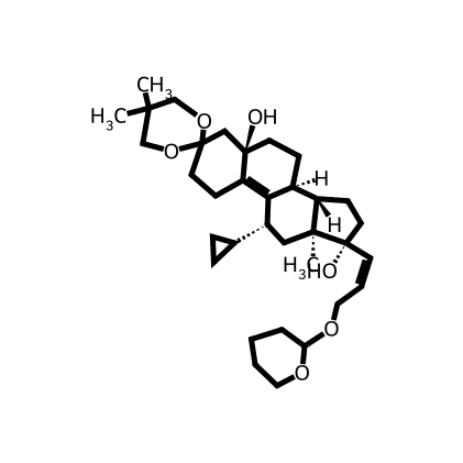 CC1(C)COC2(CCC3=C4[C@@H](CC[C@@]3(O)C2)[C@@H]2CC[C@@](O)(/C=C\COC3CCCCO3)[C@@]2(C)C[C@@H]4C2CC2)OC1